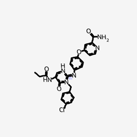 CCC(=O)Nc1c[nH]/c(=N\c2ccc(Oc3ccnc(C(N)=O)c3)cc2)n(Cc2ccc(Cl)cc2)c1=O